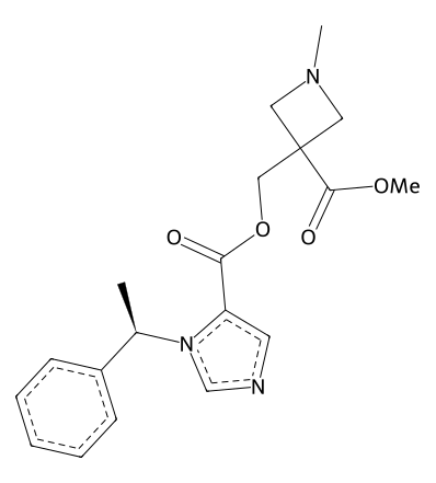 COC(=O)C1(COC(=O)c2cncn2[C@H](C)c2ccccc2)CN(C)C1